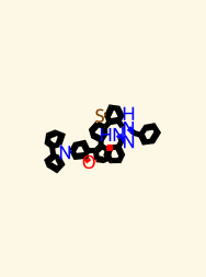 C1=CC(C2=NC(c3ccccc3)NC(c3cccc4sc5ccc(-c6cccc7oc8cc(-n9c%10ccccc%10c%10ccccc%109)ccc8c67)cc5c34)N2)=CCC1